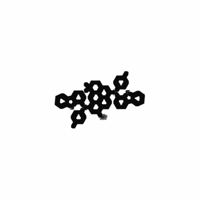 Cc1ccc(N(c2cc(C(C)C)c3ccc4c(N(c5ccc(C)cc5)c5cccc6c5sc5ccccc56)cc5c6c(cc2c3c46)C(C)(C)CC5)c2cccc3c2sc2ccccc23)cc1